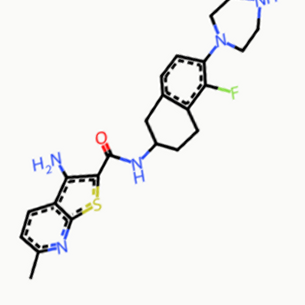 Cc1ccc2c(N)c(C(=O)NC3CCc4c(ccc(N5CCNCC5)c4F)C3)sc2n1